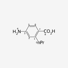 CCCc1cc(N)ccc1C(=O)O